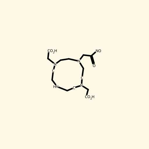 O=NC(=O)CN1CCN(CC(=O)O)CCNCCN(CC(=O)O)CC1